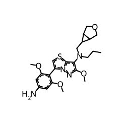 CCCN(CC1C2COCC21)c1c(OC)nn2c(-c3c(OC)cc(N)cc3OC)csc12